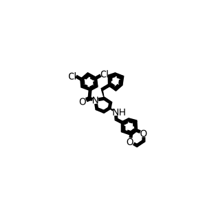 O=C(c1cc(Cl)cc(Cl)c1)N1CC[C@H](NCc2ccc3c(c2)OCCO3)C[C@@H]1Cc1ccccc1